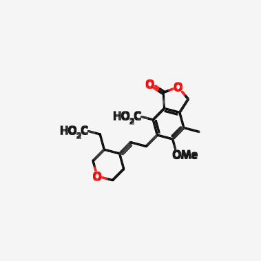 COc1c(C)c2c(c(C(=O)O)c1C/C=C1\CCOCC1CC(=O)O)C(=O)OC2